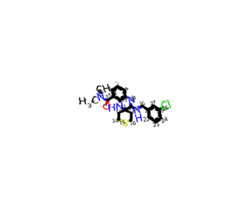 CN(C)C(=O)c1cccc2c1NC1(CCSCC1)C(NCc1cccc(Cl)c1)=N2